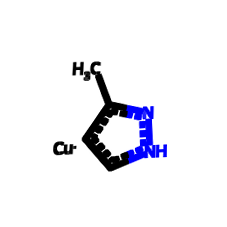 Cc1cc[nH]n1.[Cu]